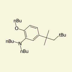 CCCCOc1ccc(C(C)(C)CC(C)(C)C)cc1N(CCCC)CCCC